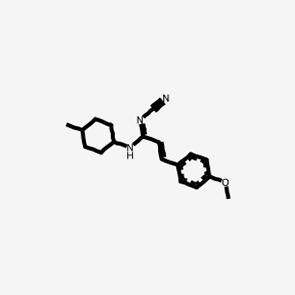 COc1ccc(/C=C/C(=N\C#N)NC2CCC(C)CC2)cc1